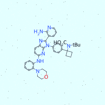 CC(C)(C)N(C(=O)O)C1(c2ccc(-n3c(-c4cccnc4N)nc4ccc(Nc5ccccc5N5CCOCC5)nc43)cc2)CCC1